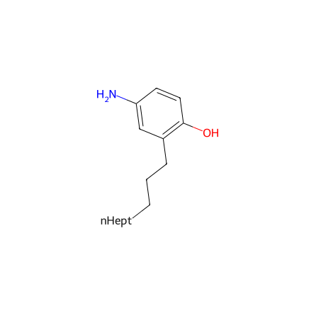 CCCCCCCCCCc1cc(N)ccc1O